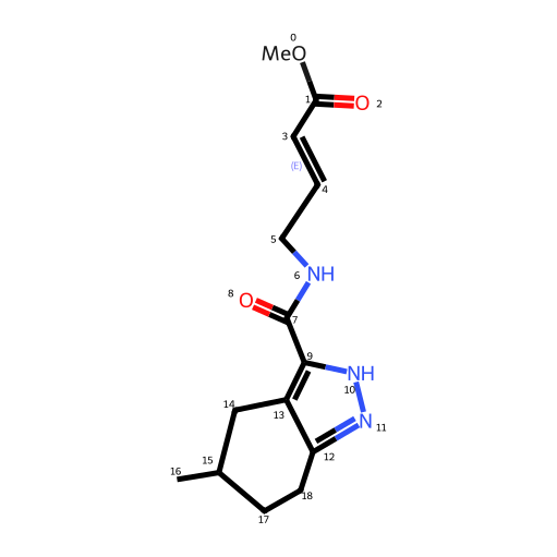 COC(=O)/C=C/CNC(=O)c1[nH]nc2c1CC(C)CC2